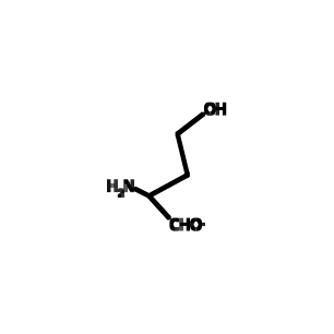 NC([C]=O)CCO